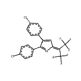 FC(F)(F)C(=C1C=C(c2ccc(Cl)cc2)C(c2ccc(Cl)cc2)=N1)C(F)(F)F